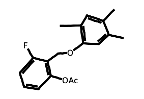 CC(=O)Oc1cccc(F)c1COc1cc(C)c(C)cc1C